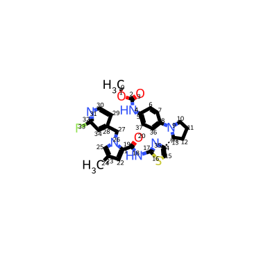 COC(=O)Nc1ccc(N2CCC[C@@H]2c2csc(NC(=O)c3cc(C)cn3Cc3ccnc(F)c3)n2)cc1